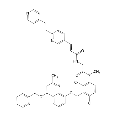 Cc1cc(OCc2ccccn2)c2cccc(OCc3c(Cl)ccc(N(C)C(=O)CNC(=O)/C=C/c4ccc(/C=C/c5ccncc5)nc4)c3Cl)c2n1